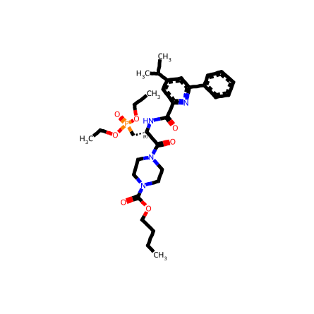 CCCCOC(=O)N1CCN(C(=O)[C@H](CP(=O)(OCC)OCC)NC(=O)c2cc(C(C)C)cc(-c3ccccc3)n2)CC1